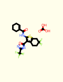 O=C(Nc1sc2c(c1-c1nc(C(F)(F)F)no1)CCC(F)(F)C2)C1=CCCCC1.O=C(O)O